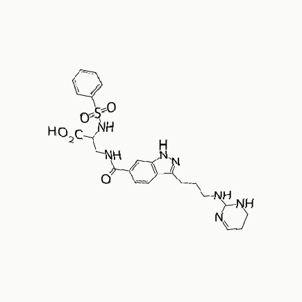 O=C(NCC(NS(=O)(=O)c1ccccc1)C(=O)O)c1ccc2c(CCCNC3N=CCCN3)n[nH]c2c1